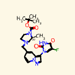 C[C@H]1CN(Cc2ccn3ncc(-n4cc(F)c(=O)[nH]c4=O)c3c2)CCN1C(=O)OC(C)(C)C